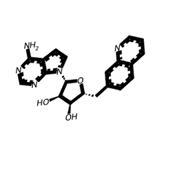 Nc1ncnc2c1ccn2[C@@H]1O[C@H](Cc2ccc3cccnc3c2)[C@@H](O)[C@H]1O